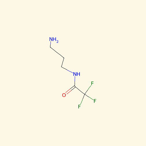 NCCCNC(=O)C(F)(F)F